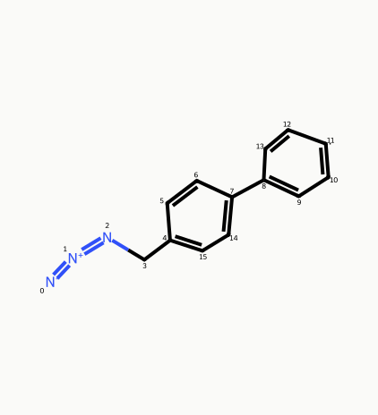 [N-]=[N+]=NCc1ccc(-c2cc[c]cc2)cc1